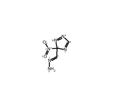 NN=CC1([N+](=O)[O-])N=CN=N1